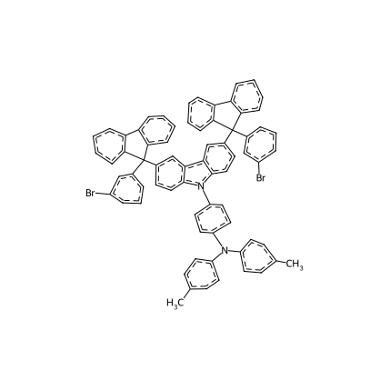 Cc1ccc(N(c2ccc(C)cc2)c2ccc(-n3c4ccc(C5(c6cccc(Br)c6)c6ccccc6-c6ccccc65)cc4c4cc(C5(c6cccc(Br)c6)c6ccccc6-c6ccccc65)ccc43)cc2)cc1